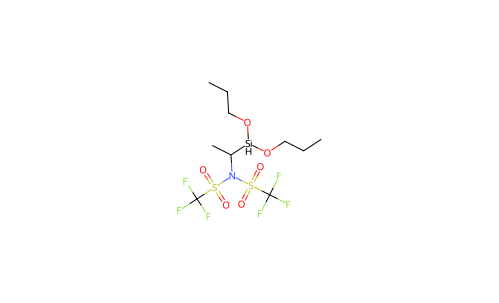 CCCO[SiH](OCCC)C(C)N(S(=O)(=O)C(F)(F)F)S(=O)(=O)C(F)(F)F